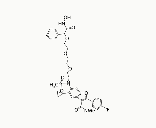 CNC(=O)c1c(-c2ccc(F)cc2)oc2cc(N(CCOCCOCCOC(C(=O)NO)c3ccccc3)S(C)(=O)=O)c(C3CC3)cc12